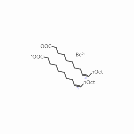 CCCCCCCC/C=C\CCCCCCCC(=O)[O-].CCCCCCCC/C=C\CCCCCCCC(=O)[O-].[Be+2]